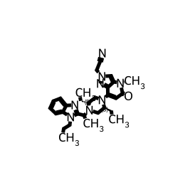 CCCn1c(C(C)N2C[C@H](CC)N(c3cc(=O)n(C)c4cn(CC#N)nc34)C[C@H]2CC)nc2ccccc21